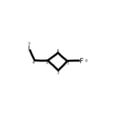 FC1CC(CI)C1